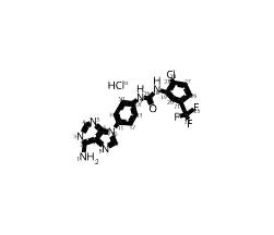 Cl.Nc1ncnc2c1ncn2-c1ccc(NC(=O)Nc2cc(C(F)(F)F)ccc2Cl)cc1